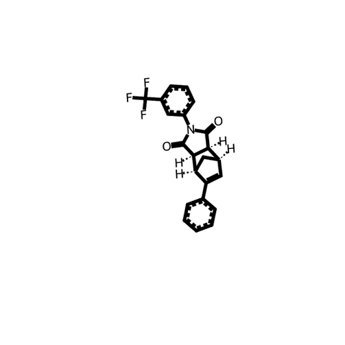 O=C1[C@@H]2[C@H](C(=O)N1c1cccc(C(F)(F)F)c1)[C@H]1C[C@@H]2C=C1c1ccccc1